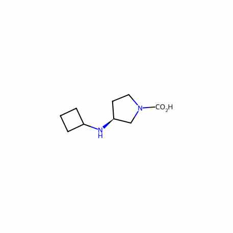 O=C(O)N1CC[C@H](NC2CCC2)C1